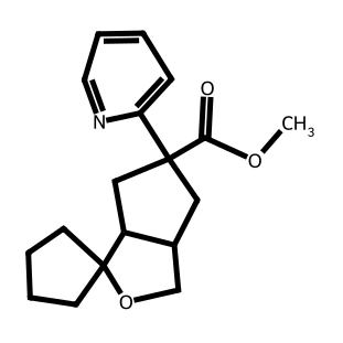 COC(=O)C1(c2ccccn2)CC2COC3(CCCC3)C2C1